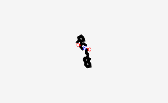 O=C(/C=C/c1ccc2ccccc2c1)N1CCC2(CC1)OCc1ccccc12